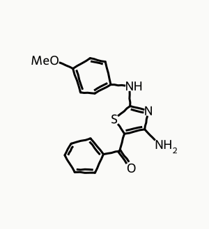 COc1ccc(Nc2nc(N)c(C(=O)c3ccccc3)s2)cc1